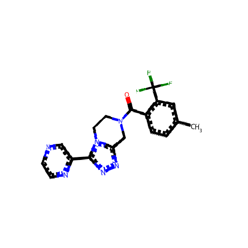 Cc1ccc(C(=O)N2CCn3c(nnc3-c3cnccn3)C2)c(C(F)(F)F)c1